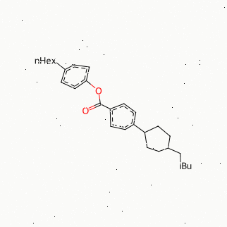 CCCCCCc1ccc(OC(=O)c2ccc(C3CCC(CC(C)CC)CC3)cc2)cc1